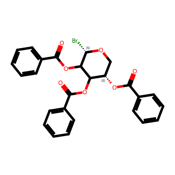 O=C(OC1C(OC(=O)c2ccccc2)[C@@H](OC(=O)c2ccccc2)CO[C@H]1Br)c1ccccc1